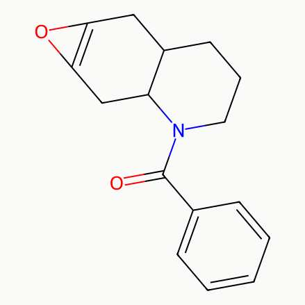 O=C(c1ccccc1)N1CCCC2CC3=C(CC21)O3